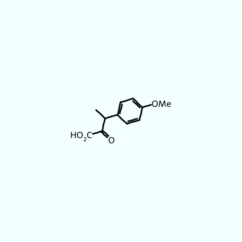 COc1ccc(C(C)C(=O)C(=O)O)cc1